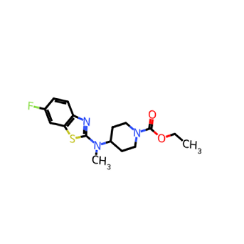 CCOC(=O)N1CCC(N(C)c2nc3ccc(F)cc3s2)CC1